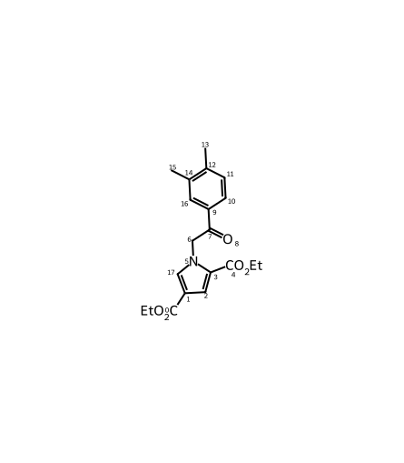 CCOC(=O)c1cc(C(=O)OCC)n(CC(=O)c2ccc(C)c(C)c2)c1